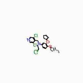 COc1ccc(N(CCCl)Cc2c(Cl)cncc2Cl)cc1OC1CCCC1